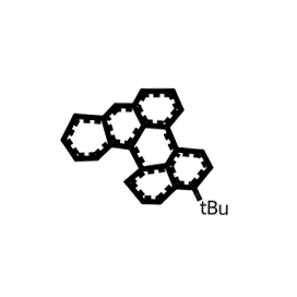 CC(C)(C)c1ccc2c3cccc4cc5ccccc5c(c5cccc1c25)c43